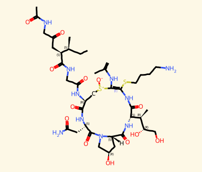 C=C(C)N/C1=C(\SCCCCN)NC(=O)[C@H]([C@@H](C)[C@@H](O)CO)NC(=O)[C@@H]2C[C@@H](O)CN2C(=O)[C@H](CC(N)=O)NC(=O)[C@@H](NC(=O)CNC(=O)[C@@H](CC(=O)CNC(C)=O)[C@@H](C)CC)C[S+]1[O-]